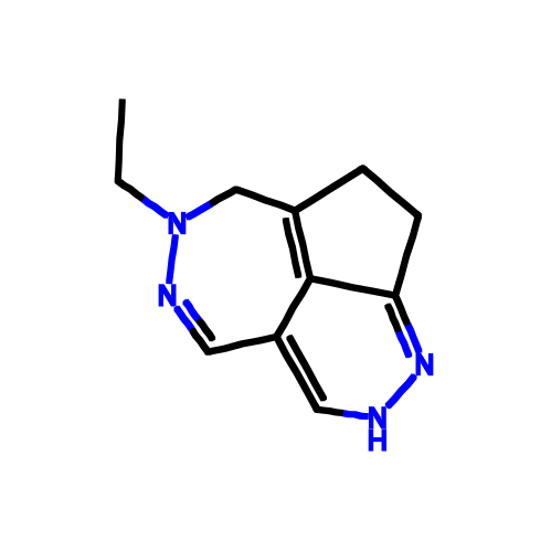 CCN1CC2=C3C(=CNN=C3CC2)C=N1